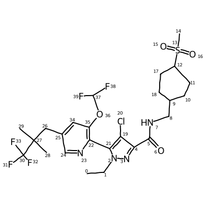 CCn1nc(C(=O)NCC2CCC(S(C)(=O)=O)CC2)c(Cl)c1-c1ncc(CC(C)(C)C(F)(F)F)cc1OC(F)F